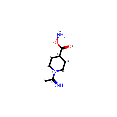 CC(=N)N1CCC(C(=O)ON)CC1